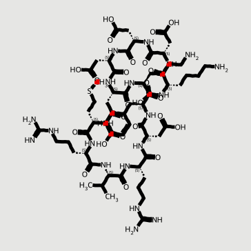 CSCC[C@H](NC=O)C(=O)N[C@@H](CCCNC(=N)N)C(=O)N[C@H](C(=O)N[C@@H](CCCNC(=N)N)C(=O)N[C@@H](CC(=O)O)C(=O)N[C@@H](Cc1ccc(O)cc1)C(=O)N[C@@H](CCCCN)C(=O)N[C@@H](CC(=O)O)C(=O)N[C@@H](CC(=O)O)C(=O)N[C@@H](CC(=O)O)C(=O)N[C@@H](CC(=O)O)C(=O)N[C@@H](CCCCN)C(=O)O)C(C)C